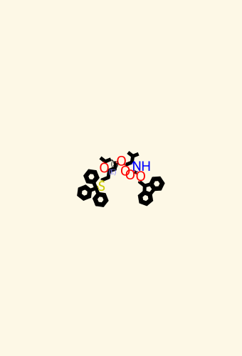 CC(=O)C[C@@H](/C=C/CCSC(c1ccccc1)(c1ccccc1)c1ccccc1)OC(=O)C(NC(=O)OCC1c2ccccc2-c2ccccc21)C(C)C